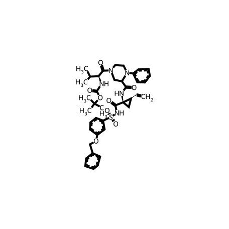 C=C[C@@H]1C[C@]1(NC(=O)C1CN(C(=O)[C@@H](NC(=O)OC(C)(C)C)C(C)C)CCN1c1ccccc1)C(=O)NS(=O)(=O)c1cccc(OCc2ccccc2)c1